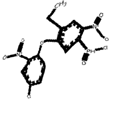 CCc1cc([N+](=O)[O-])c([PH](=O)Cl)cc1Oc1ccc(Cl)cc1[N+](=O)[O-]